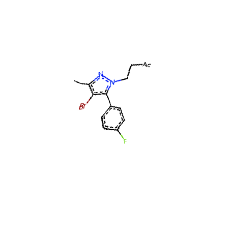 CC(=O)CCn1nc(C)c(Br)c1-c1ccc(F)cc1